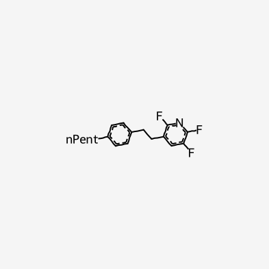 CCCCCc1ccc(CCc2cc(F)c(F)nc2F)cc1